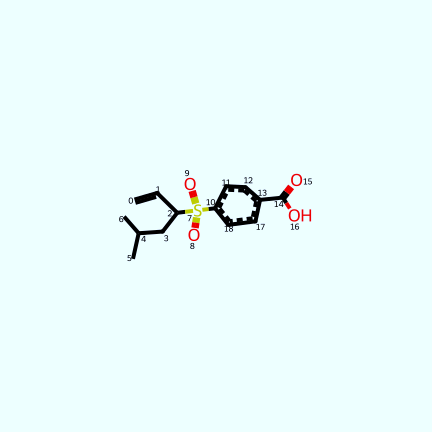 C=CC(CC(C)C)S(=O)(=O)c1ccc(C(=O)O)cc1